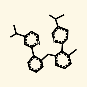 Cc1cccc(Cc2ccccc2-c2cc(C(C)C)ccn2)c1-c1ccc(C(C)C)cn1